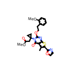 COC(=O)CC1(n2c(OCCc3ccccc3OC)nc3sc(-c4ncco4)c(C)c3c2=O)CC1